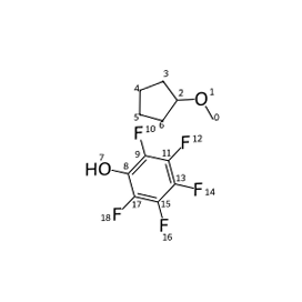 COC1CCCC1.Oc1c(F)c(F)c(F)c(F)c1F